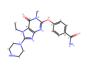 CCn1c(N2CCNCC2)nc2nc(Oc3ccc(C(N)=O)cc3)n(C)c(=O)c21